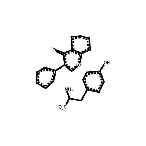 NC(Cc1ccc(O)cc1)C(=O)O.O=c1c(-c2ccccc2)coc2ccccc12